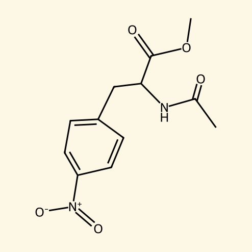 COC(=O)C(Cc1ccc([N+](=O)[O-])cc1)NC(C)=O